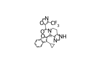 O=C(c1ocnc1C(F)(F)F)N1CCc2[nH]cnc2[C@H]1c1oc2ccccc2c1C1CC1